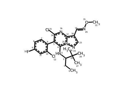 CCC(Nc1c(-c2ccc(F)cc2Cl)c(Cl)nc2c(C=NOC)cnn12)C(C)(C)C